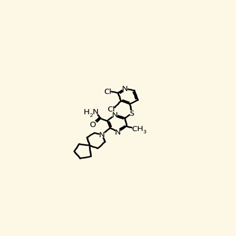 Cc1nc(N2CCC3(CCCC3)CC2)c(C(N)=O)nc1Sc1ccnc(Cl)c1Cl